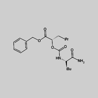 CC[C@H](C)[C@H](NC(=O)O[C@@H](CC(C)C)C(=O)OCc1ccccc1)C(N)=O